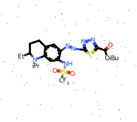 CCC1CCc2cc(N=Nc3nnc(C(=O)OCC(C)C)s3)c(NS(=O)(=O)C(F)(F)F)cc2N1C(C)C